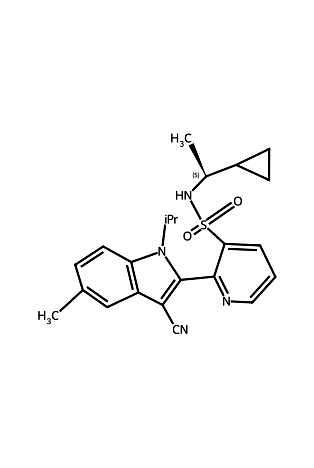 Cc1ccc2c(c1)c(C#N)c(-c1ncccc1S(=O)(=O)N[C@@H](C)C1CC1)n2C(C)C